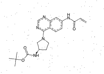 C=CC(=O)Nc1ccc2c(N3CC[C@@H](NC(=O)OC(C)(C)C)C3)ncnc2c1